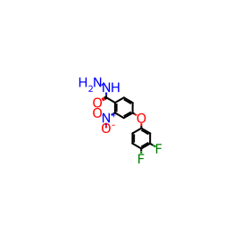 NNC(=O)c1ccc(Oc2ccc(F)c(F)c2)cc1[N+](=O)[O-]